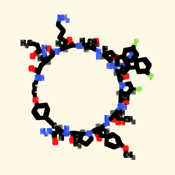 CCC(=O)N[C@H]1CC(=O)NCCOc2ccc(cc2)C[C@@H](C(N)=O)NC(=O)[C@]2(C)CCCN2C(=O)[C@H](Cc2ccc(OC)cc2)NC(=O)[C@H]([C@@H](C)O)NC(=O)[C@@H]2C[C@H](F)CN2C(=O)[C@H](Cc2c[nH]c3ccc(F)cc23)NC(=O)[C@H](Cc2c[nH]c3ccc(F)cc23)NC(=O)[C@@H](C)NC(=O)[C@H](CCCCN)NC1=O